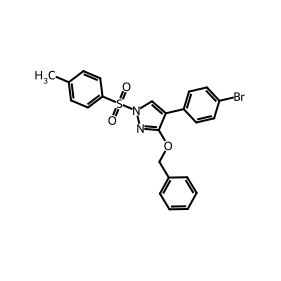 Cc1ccc(S(=O)(=O)n2cc(-c3ccc(Br)cc3)c(OCc3ccccc3)n2)cc1